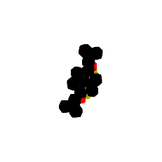 c1ccc(N(c2ccccc2)c2ccc3c(c2)oc2c4c5c(cc23)N(c2ccccc2)c2cc3c(cc2B5c2ccccc2S4)B2c4ccccc4Sc4c2c(cc2c4oc4cc(N(c5ccccc5)c5ccccc5)ccc42)N3c2ccccc2)cc1